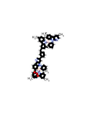 Cc1cc(C)c2c(c1)c1cc(C)cc(C)c1n2B1c2ccccc2-n2c3cc(-c4cccc(Cc5cc(C)c6c(c5)c5cc(C)cc(C)c5n6B5c6ccccc6-n6c7ncc(C)cc7c7cc(C)cc5c76)c4)cnc3c3ccc(-c4ccccc4)c1c32